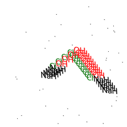 OCl.OCl.OCl.OCl.OCl.OCl.OCl.OCl.OCl.OCl.OCl.OCl.OCl.[NaH].[NaH].[NaH].[NaH].[NaH].[NaH].[NaH].[NaH].[NaH].[NaH]